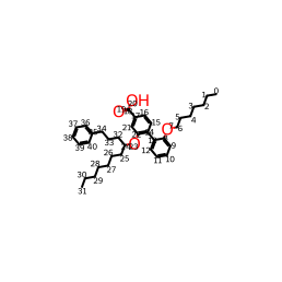 CCCCCCCOc1ccccc1-c1ccc(C(=O)O)cc1OC(CCCCCCC)CCCc1ccccc1